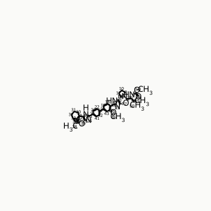 COC(=O)N[C@H](C(=O)N1CCC[C@H]1c1cnc(-c2ccc(-c3ccc(-c4ncc(C56CCCC(CC5)C6C(C)=O)[nH]4)cc3)cc2OC)[nH]1)C(C)C